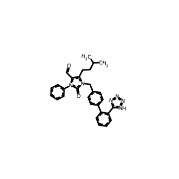 CC(C)CCc1c(C=O)n(-c2ccccc2)c(=O)n1Cc1ccc(-c2ccccc2-c2nnn[nH]2)cc1